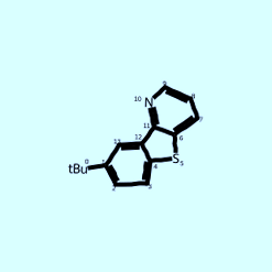 CC(C)(C)c1ccc2sc3cccnc3c2c1